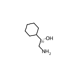 NC[C@@H](O)C1CCCCC1